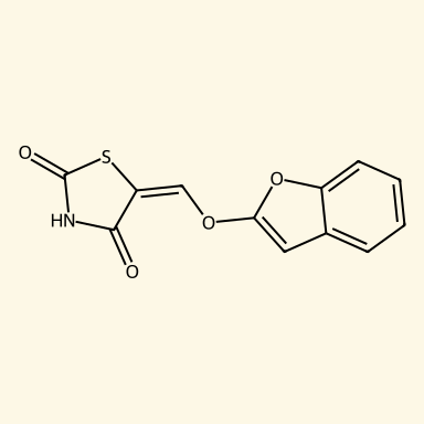 O=C1NC(=O)C(=COc2cc3ccccc3o2)S1